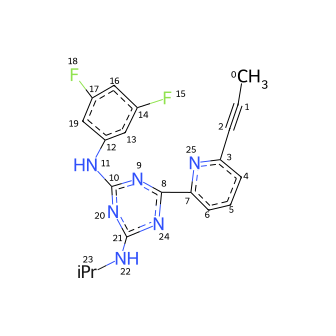 CC#Cc1cccc(-c2nc(Nc3cc(F)cc(F)c3)nc(NC(C)C)n2)n1